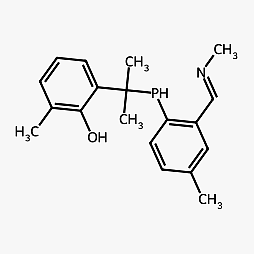 C/N=C/c1cc(C)ccc1PC(C)(C)c1cccc(C)c1O